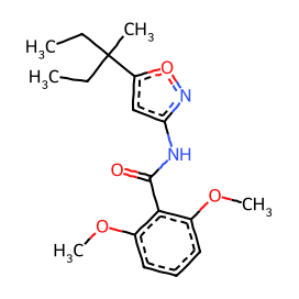 CCC(C)(CC)c1cc(NC(=O)c2c(OC)cccc2OC)no1